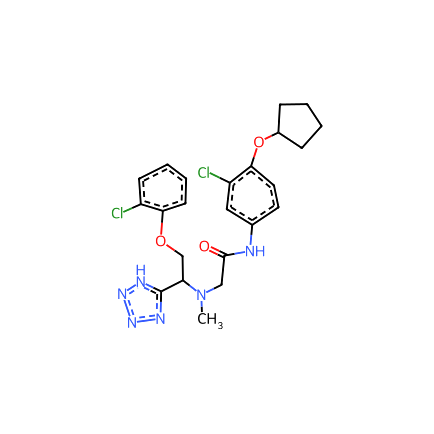 CN(CC(=O)Nc1ccc(OC2CCCC2)c(Cl)c1)C(COc1ccccc1Cl)c1nnn[nH]1